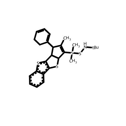 CC1=C(S(C)(C)SNC(C)(C)C)C2Sc3c(sc4ccccc34)C2C1C1=CC=CCC1